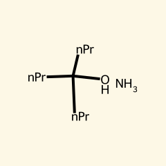 CCCC(O)(CCC)CCC.N